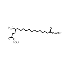 CCCCCCCCOC(=O)CCCCCCCCCCCCC(C)CCC(=O)OCCCCCCCC